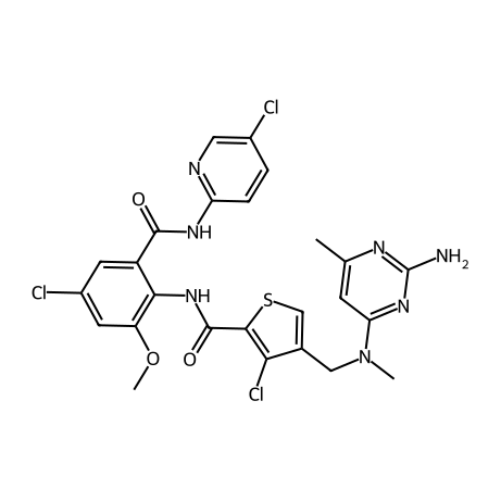 COc1cc(Cl)cc(C(=O)Nc2ccc(Cl)cn2)c1NC(=O)c1scc(CN(C)c2cc(C)nc(N)n2)c1Cl